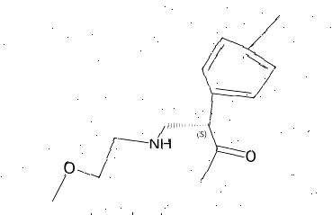 COCCNC[C@@H](C(C)=O)c1ccc(C)cc1